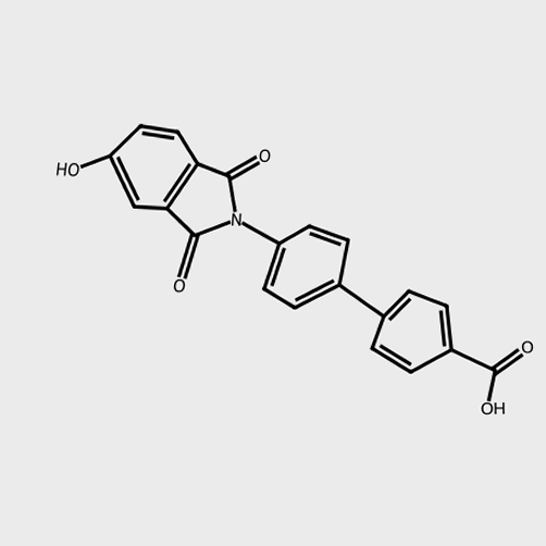 O=C(O)c1ccc(-c2ccc(N3C(=O)c4ccc(O)cc4C3=O)cc2)cc1